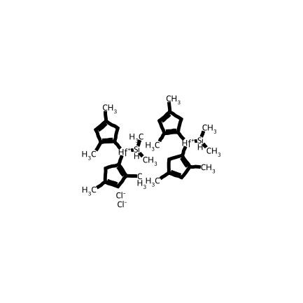 CC1=CC(C)=[C]([Hf+]([C]2=C(C)C=C(C)C2)[SiH](C)C)C1.CC1=CC(C)=[C]([Hf+]([C]2=C(C)C=C(C)C2)[SiH](C)C)C1.[Cl-].[Cl-]